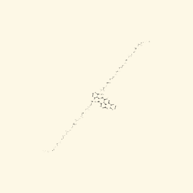 COCCOCCOCCOCCOCCOCCOCCOCCOCCOc1cccc(OCCOCCOCCOCCOCCOCCOCCOCCOCCOC)c1-n1c(=O)c2ccc3sc4ccccc4c4ccc(c1=O)c2c34